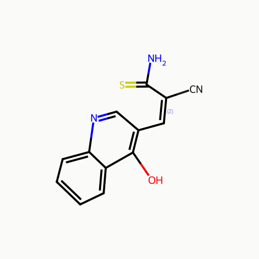 N#C/C(=C/c1cnc2ccccc2c1O)C(N)=S